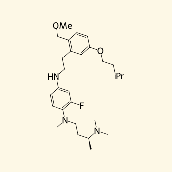 COCc1ccc(OCCC(C)C)cc1CCNc1ccc(N(C)CC[C@H](C)N(C)C)c(F)c1